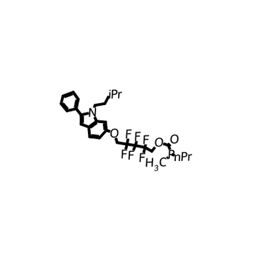 CCCP(C)C(=O)OCC(F)(F)C(F)(F)C(F)(F)COc1ccc2cc(-c3ccccc3)n(CCC(C)C)c2c1